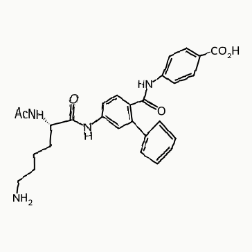 CC(=O)N[C@@H](CCCCN)C(=O)Nc1ccc(C(=O)Nc2ccc(C(=O)O)cc2)c(-c2ccccc2)c1